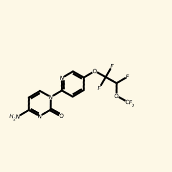 Nc1ccn(-c2ccc(OC(F)(F)C(F)OC(F)(F)F)cn2)c(=O)n1